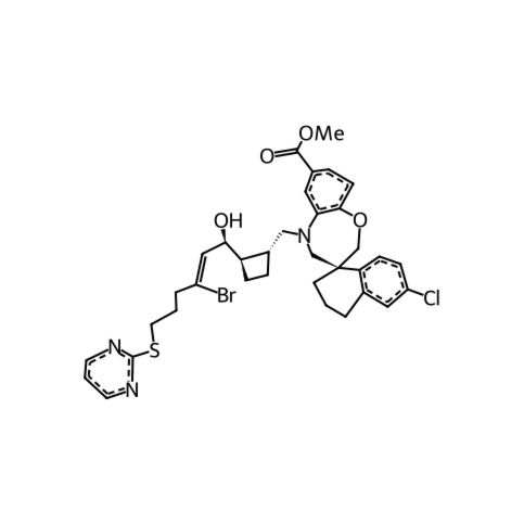 COC(=O)c1ccc2c(c1)N(C[C@@H]1CC[C@H]1[C@H](O)/C=C(\Br)CCCSc1ncccn1)C[C@@]1(CCCc3cc(Cl)ccc31)CO2